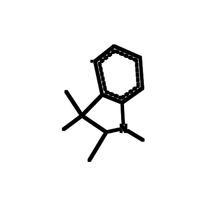 CC1N(C)c2ccc[c]c2C1(C)C